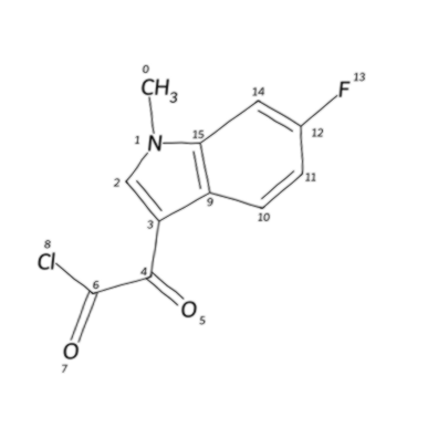 Cn1cc(C(=O)C(=O)Cl)c2ccc(F)cc21